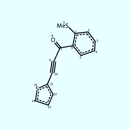 CSc1ccccc1C(=O)C#Cc1cccs1